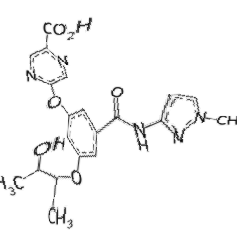 CC(O)C(C)Oc1cc(Oc2cnc(C(=O)O)cn2)cc(C(=O)Nc2ccn(C)n2)c1